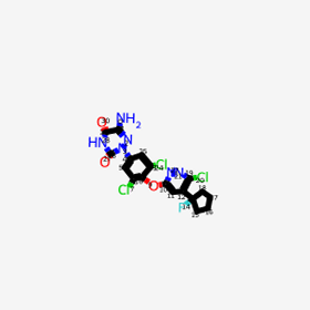 Nc1nn(-c2cc(Cl)c(Oc3cc(C4(F)CCCC4)c(Cl)nn3)c(Cl)c2)c(=O)[nH]c1=O